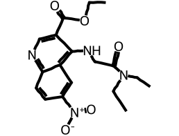 CCOC(=O)c1cnc2ccc([N+](=O)[O-])cc2c1NCC(=O)N(CC)CC